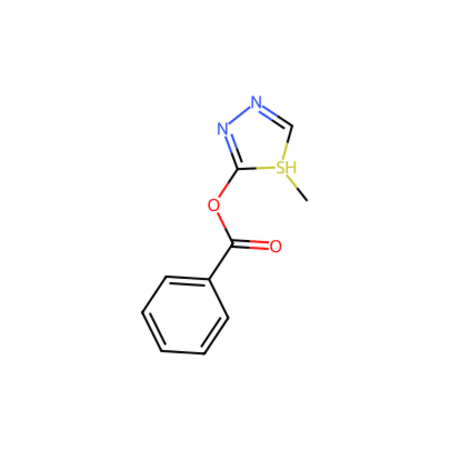 C[SH]1C=NN=C1OC(=O)c1ccccc1